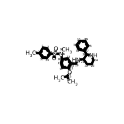 Cc1ccc(S(=O)(=O)N(C)c2ccc(OC(C)C)c(CNC3CCCNC3c3ccccc3)c2)cc1